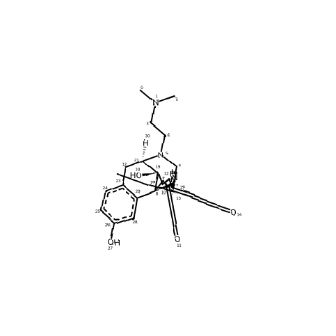 CN(C)CCN1CC[C@]23CC(=O)NC(=O)NCCC[C@@]2(O)[C@H]1Cc1ccc(O)cc13